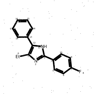 CCc1nc(-c2ccc(F)cc2)[nH]c1-c1ccccc1